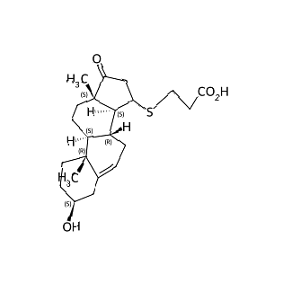 C[C@]12CC[C@H](O)CC1=CC[C@@H]1[C@@H]2CC[C@]2(C)C(=O)CC(SCCC(=O)O)[C@@H]12